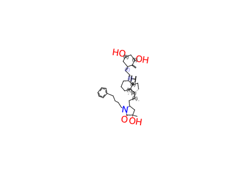 C=C1/C(=C\C=C2/CCC[C@]3(C)[C@@H]([C@H](C)CC4CC(C)(O)C(=O)N4CCCCc4ccccc4)CC[C@@H]23)C[C@@H](O)C[C@@H]1O